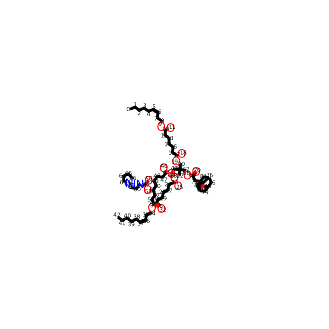 CCCCC/C=C\CCOC(=O)CCCCCC(=O)OCC(COC(=O)CCCCCC(=O)OCC/C=C\CCCCC)(COC(=O)CCC(CCCCCC)OC(=O)NCCN1CCCC1)COC(=O)CC12CC3CC(CC(C3)C1)C2